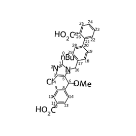 CCCCc1nc(Cl)c(C(OC)c2ccc(C(=O)O)cc2)n1Cc1ccc(-c2ccccc2C(=O)O)cc1